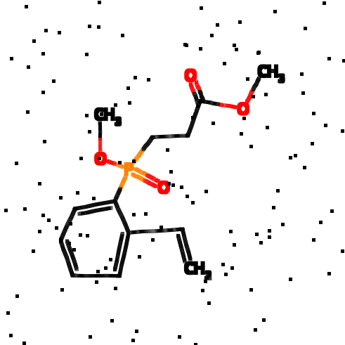 C=Cc1ccccc1P(=O)(CCC(=O)OC)OC